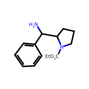 CCOC(=O)N1CCCC1C(N)c1ccccc1